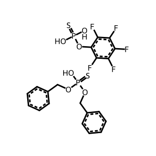 OP(=S)(OCc1ccccc1)OCc1ccccc1.OP(O)(=S)Oc1c(F)c(F)c(F)c(F)c1F